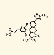 C[C@H]1Cc2cc(-c3nnn(C)n3)ccc2[C@H](c2c(F)cc(/C=C/C(=O)O)cc2F)N1CC(C)(C)F